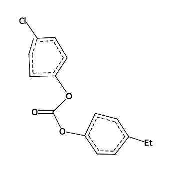 CCc1ccc(OC(=O)Oc2ccc(Cl)cc2)cc1